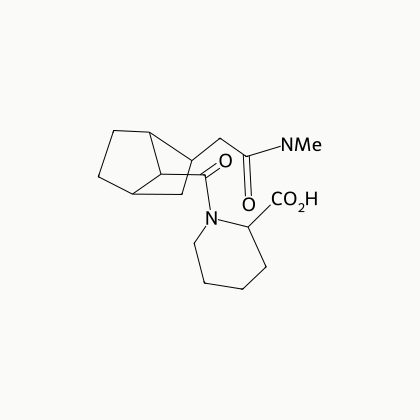 CNC(=O)CC1CC2CCC1C2C(=O)N1CCCCC1C(=O)O